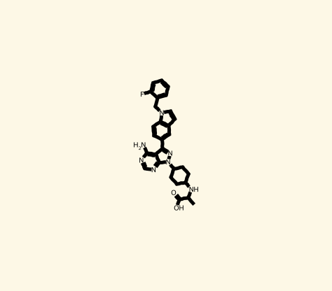 CC(NC1CCC(n2nc(-c3ccc4c(ccn4Cc4ccccc4F)c3)c3c(N)ncnc32)CC1)C(=O)O